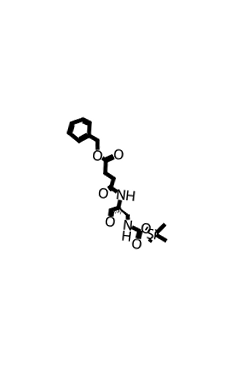 C[Si](C)(C)OC(=O)NC[C@@H](C=O)NC(=O)CCC(=O)OCc1ccccc1